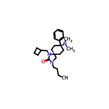 CN(C)[C@]1(c2ccccc2)CC[C@@]2(CC1)CN(CCCC#N)C(=O)N2CC1CCC1